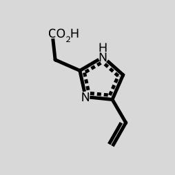 C=Cc1c[nH]c(CC(=O)O)n1